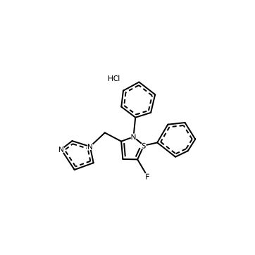 Cl.FC1=S(c2ccccc2)N(c2ccccc2)C(Cn2ccnc2)=C1